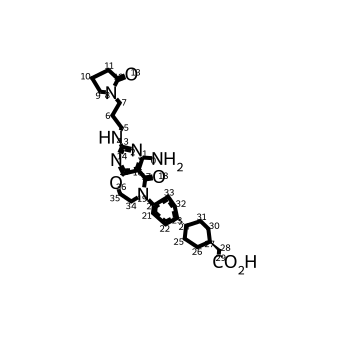 Nc1nc(NCCCN2CCCC2=O)nc2c1C(=O)N(c1ccc([C@H]3CC[C@H](CC(=O)O)CC3)cc1)CCO2